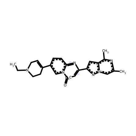 C/C=C(\N=c1\ccc(C2=CCN(CC)CC2)cn1C=O)c1cc2c(C)nc(C)cn2n1